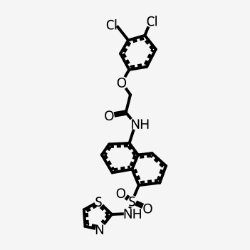 O=C(COc1ccc(Cl)c(Cl)c1)Nc1cccc2c(S(=O)(=O)Nc3nccs3)cccc12